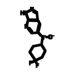 [O-][S+](c1cnc2[nH]ncc2c1)C1CCC(F)(F)CC1